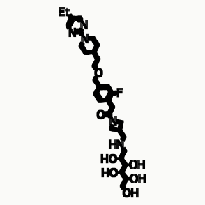 CCc1cnc(N2CCC(CCOCc3ccc(CC(=O)N4CC(CNC[C@@H](O)[C@H](O)[C@@H](O)[C@@H](O)CO)C4)c(F)c3)CC2)nc1